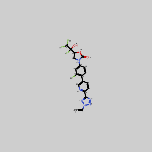 C=Cn1nnc(-c2ccc(-c3ccc(N4CC(C(O)(F)C(F)F)OC4=O)cc3F)cn2)n1